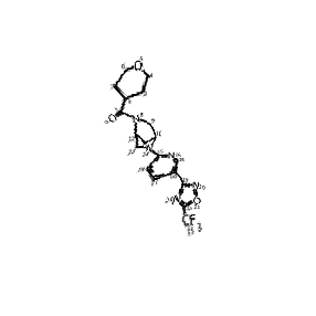 O=C(C1CCOCC1)N1CC2CC1CN2c1ccc(-c2noc(C(F)(F)F)n2)cn1